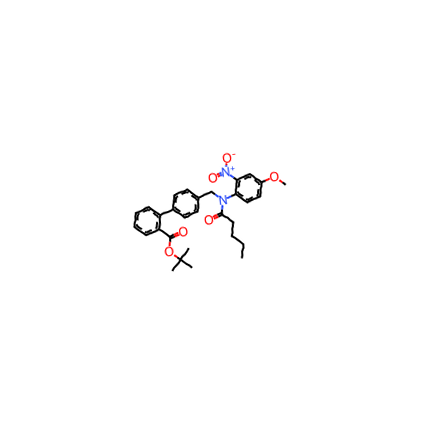 CCCCC(=O)N(Cc1ccc(-c2ccccc2C(=O)OC(C)(C)C)cc1)c1ccc(OC)cc1[N+](=O)[O-]